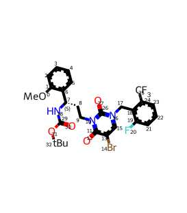 COc1ccccc1[C@H](CCn1c(=O)c(Br)cn(Cc2c(F)cccc2C(F)(F)F)c1=O)NC(=O)OC(C)(C)C